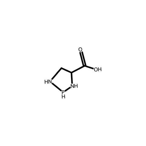 O=C(O)C1CNPN1